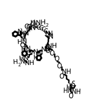 Cn1cc(C[C@@H]2NC(=O)[C@@H](Cc3ccccc3)NC(=O)[C@@H](CCCNC(=N)N)NC(=O)[C@@H](Cc3ccccc3)NC(=O)[C@@H](NC(=O)COCCOCCOCCNC(=O)CCCC[C@@H]3SCC4NC(=O)N[C@@H]43)Cc3cn(nn3)CCCC[C@@H](C(N)=O)NC(=O)[C@@H](CO)NC2=O)c2ccccc21